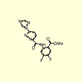 COC(=O)c1cc(F)c(F)cc1NC(=O)c1ccc(-n2cncn2)nn1